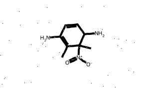 CC1=C(N)C=CC(N)C1(C)[N+](=O)[O-]